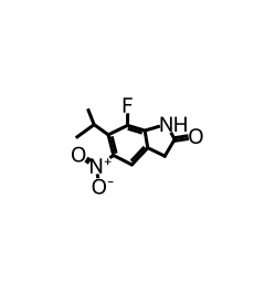 CC(C)c1c([N+](=O)[O-])cc2c(c1F)NC(=O)C2